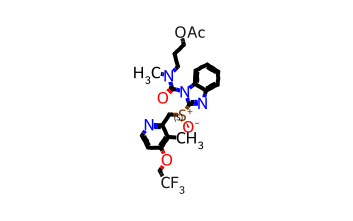 CC(=O)OCCCN(C)C(=O)n1c([S@+]([O-])Cc2nccc(OCC(F)(F)F)c2C)nc2ccccc21